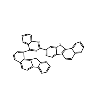 c1ccc2c(c1)Cc1c-2ccc2cccc(-c3nc(-c4ccc5c(c4)oc4c6ccccc6ccc54)nc4ccccc34)c12